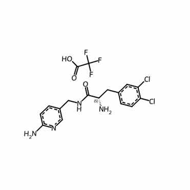 Nc1ccc(CNC(=O)[C@@H](N)Cc2ccc(Cl)c(Cl)c2)cn1.O=C(O)C(F)(F)F